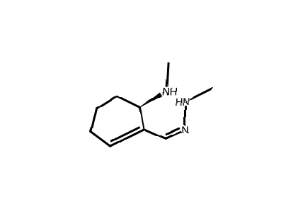 CN/N=C\C1=CCCC[C@H]1NC